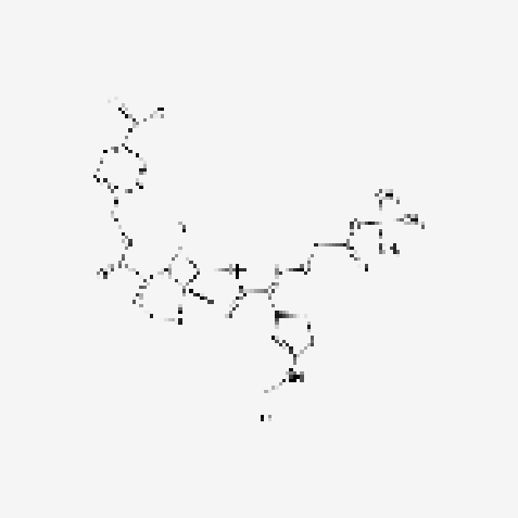 CC(C)(C)OC(=O)CON=C(C(=O)NC1C(=O)N2C(C(=O)OCc3ccc([N+](=O)[O-])cc3)=CCS[C@@H]12)c1csc(NC=O)n1